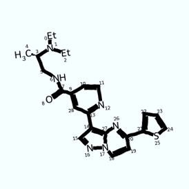 CCN(CC)[C@@H](C)CNC(=O)c1ccnc(-c2cnn3ccc(-c4cccs4)nc23)c1